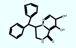 O=C1NCC(C(c2ccccc2)c2ccccc2)N2N=CC(O)C(O)=C12